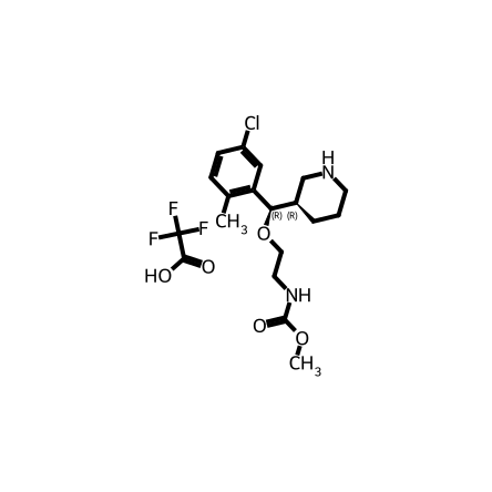 COC(=O)NCCO[C@@H](c1cc(Cl)ccc1C)[C@@H]1CCCNC1.O=C(O)C(F)(F)F